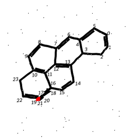 C1=CCC2C(=C1)C=c1ccc3c4c1=C2C=CC41C=CC=CC1=CC3